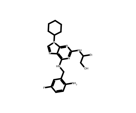 CCC(CO)Nc1nc(NCc2cc(F)ccc2N)c2ncn(C3CCCCC3)c2n1